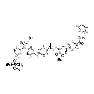 CC(C)(C)OC(=O)N(CCNc1ccc(Cc2ccc(N(C(=O)OC(C)(C)C)c3cccc(CO[Si](C)(C)C(C)(C)C)c3)nc2)cn1)CC(=O)N1CCN(C(=O)OCc2ccccc2)CC1